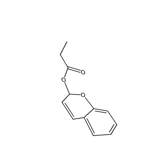 CCC(=O)OC1C=Cc2ccccc2O1